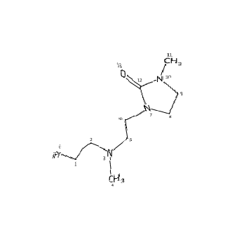 CC(C)CCN(C)CCN1CCN(C)C1=O